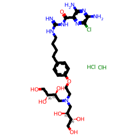 Cl.Cl.N=C(NCCCCc1ccc(OCCN(C[C@H](O)[C@H](O)CO)C[C@H](O)[C@H](O)CO)cc1)NC(=O)c1nc(Cl)c(N)nc1N